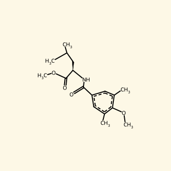 COC(=O)[C@@H](CC(C)C)NC(=O)c1cc(C)c(OC)c(C)c1